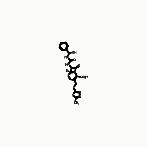 Cc1nnc(SCC2=C(C(=O)O)N3C(=O)C(NC(=O)NC(O)c4ccccc4)[C@@H]3SC2)s1